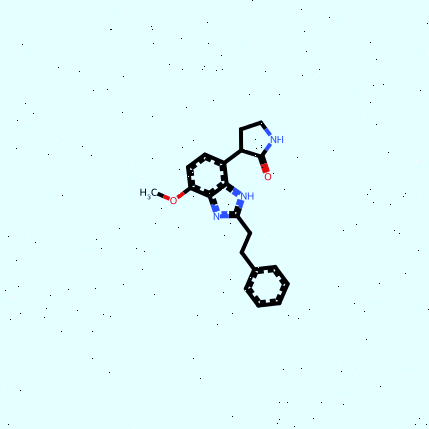 COc1ccc(C2CCNC2=O)c2[nH]c(CCc3ccccc3)nc12